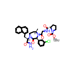 C[C@@H]1CCN([C@H](Cc2cccc3ccccc23)C(N)=O)C(=O)[C@H](c2cccc(Cl)c2)N1C(=O)CNC(=O)[C@@H]1CCCN1C(=O)OC(C)(C)C